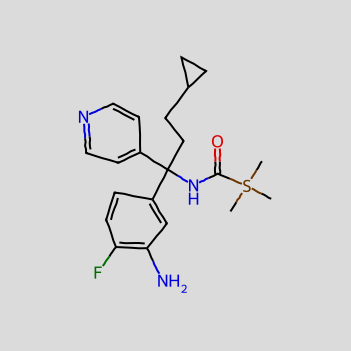 CS(C)(C)C(=O)NC(CCC1CC1)(c1ccncc1)c1ccc(F)c(N)c1